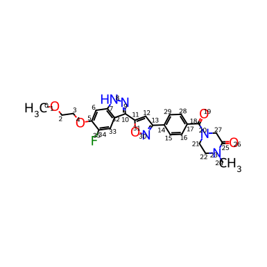 COCCOc1cc2[nH]nc(-c3cc(-c4ccc(C(=O)N5CCN(C)C(=O)C5)cc4)no3)c2cc1F